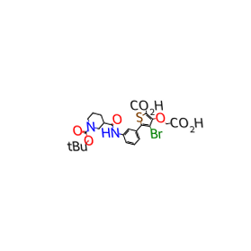 CC(C)(C)OC(=O)N1CCCC(C(=O)Nc2cccc(-c3sc(C(=O)O)c(OCC(=O)O)c3Br)c2)C1